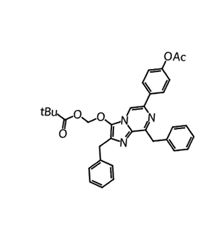 CC(=O)Oc1ccc(-c2cn3c(OCOC(=O)C(C)(C)C)c(Cc4ccccc4)nc3c(Cc3ccccc3)n2)cc1